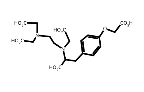 O=C(O)COc1ccc(CC(C(=O)O)N(CCN(CC(=O)O)CC(=O)O)CC(=O)O)cc1